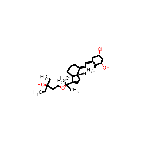 C=C1C(=CC=C2CCC[C@]3(C)C(C(C)(C)OCCC(O)(CC)CC)=CC[C@@H]23)C[C@@H](O)C[C@@H]1O